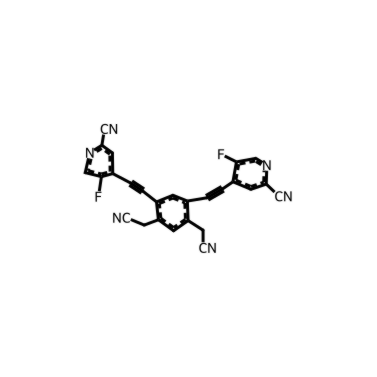 N#CCc1cc(CC#N)c(C#Cc2cc(C#N)ncc2F)cc1C#Cc1cc(C#N)ncc1F